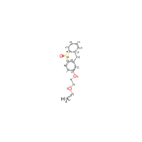 C=COCCOc1ccc2c(c1)Cc1ccccc1[S+]2[O-]